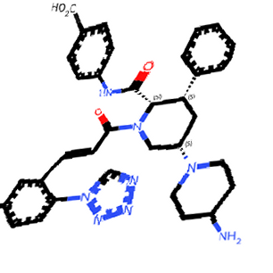 NC1CCN([C@H]2C[C@@H](c3ccccc3)[C@@H](C(=O)Nc3ccc(C(=O)O)cc3)N(C(=O)C=Cc3cc(Cl)ccc3-n3cnnn3)C2)CC1